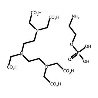 NCCOP(=O)(O)O.O=C(O)CN(CCN(CC(=O)O)CC(=O)O)CCN(CC(=O)O)CC(=O)O